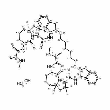 CN[C@@H](C)C(=S)N[C@H]1CCS[C@H]2CC(C)(C)[C@@H](C(=O)N[C@H]3c4ccccc4C[C@H]3OCCCCCCO[C@@H]3Cc4ccccc4[C@@H]3NC(=O)[C@H]3N4C(=O)[C@@H](NC(=S)[C@H](C)NC)CCS[C@H]4CC3(C)C)N2C1=O.Cl.Cl